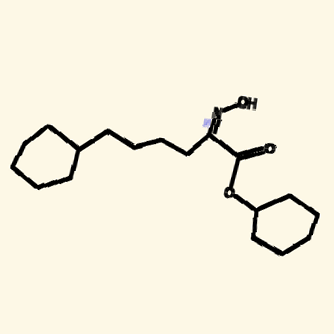 O=C(OC1CCCCC1)/C(CCCCC1CCCCC1)=N\O